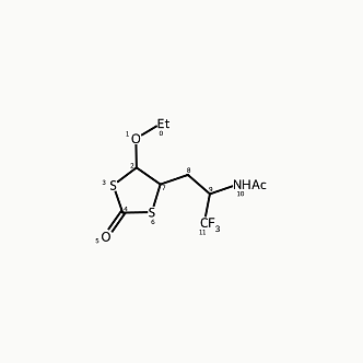 CCOC1SC(=O)SC1CC(NC(C)=O)C(F)(F)F